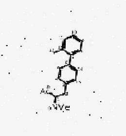 CNC(Cc1ccc(-c2ccccc2C)cc1)C(C)=O